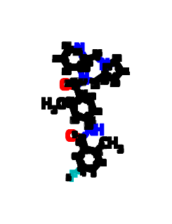 Cc1ccc(F)cc1C(=O)Nc1ccc(C(=O)N2Cc3cccn3Cc3ncccc32)c(C)c1